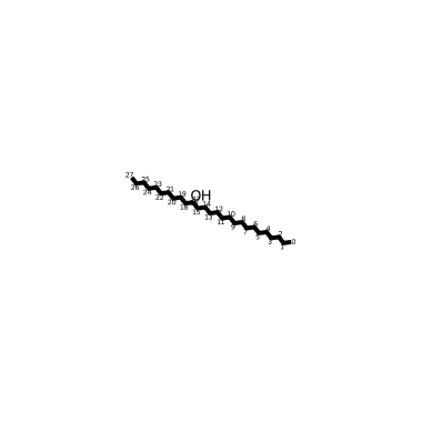 CCCCCCCCCCCCCCCCC(O)CCCCCCCCCC